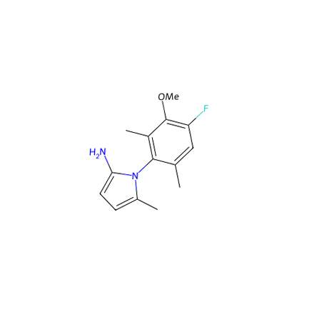 COc1c(F)cc(C)c(-n2c(C)ccc2N)c1C